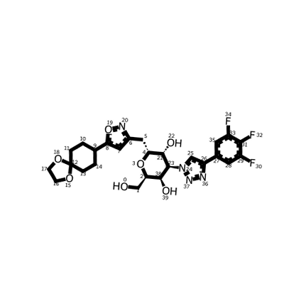 OC[C@H]1O[C@H](Cc2cc(C3CCC4(CC3)OCCO4)on2)[C@H](O)[C@@H](n2cc(-c3cc(F)c(F)c(F)c3)nn2)[C@H]1O